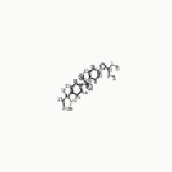 CCC(CC)Oc1ccc(S(=O)(=O)c2ccc(C(C)(CC)CC)cc2)cc1